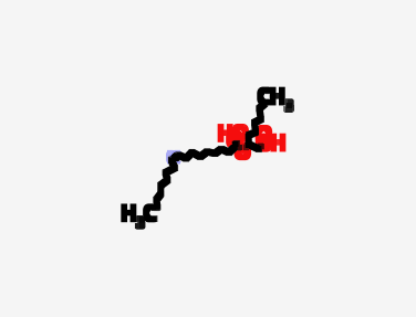 CCCCCCCC/C=C\CCCCCCCC(=O)OC(CO)C(O)C(=O)CCCCC